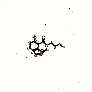 CCCCN1C(=O)c2c(Br)ccc3c2C(=O)C1C=C3